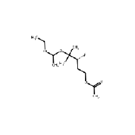 CCOC(C)OC(C)(C)[C@H](F)CCOC(C)=O